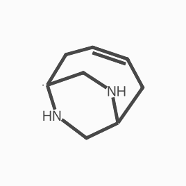 C1=CCC2CN[C](C1)CN2